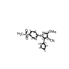 CSc1nn(-c2ccc(S(C)(=O)=O)cn2)c(-c2cccs2)c1C#N